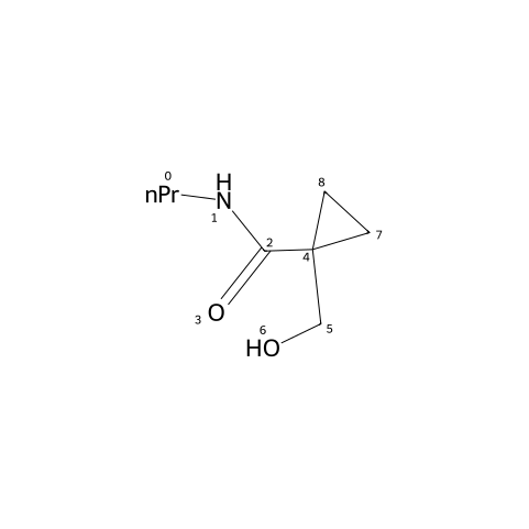 CCCNC(=O)C1(CO)CC1